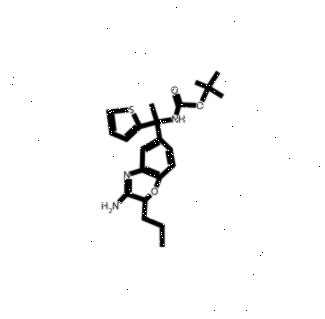 CCCC1Oc2ccc(C(C)(NC(=O)OC(C)(C)C)c3cccs3)cc2N=C1N